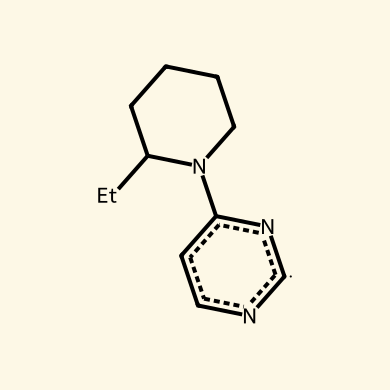 CCC1CCCCN1c1ccn[c]n1